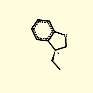 CC[C@@H]1COc2ccccc21